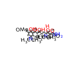 CCC1Cc2c(N(C)C)cc(COC)c(O)c2C(=O)/C1=C(\O)CC[C@@H](/C(O)=C(\C=O)C(N)=O)N(C)C